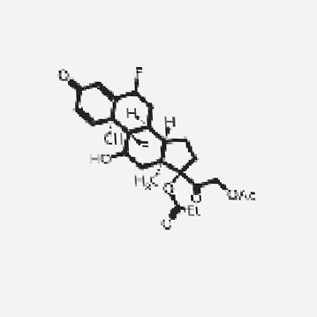 CCC(=O)O[C@]1(C(=O)COC(C)=O)CC[C@H]2[C@@H]3C[C@H](F)C4=CC(=O)C=C[C@]4(C)[C@@]3(F)C(O)C[C@@]21C